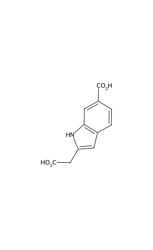 O=C(O)Cc1cc2ccc(C(=O)O)cc2[nH]1